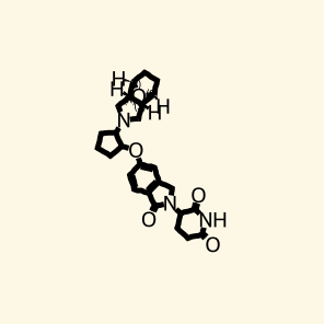 O=C1CCC(N2Cc3cc(OC4CCCC4N4C[C@@H]5[C@H](C4)[C@H]4CC[C@@H]5O4)ccc3C2=O)C(=O)N1